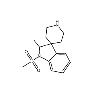 CC1N(S(C)(=O)=O)c2ccccc2C12CCNCC2